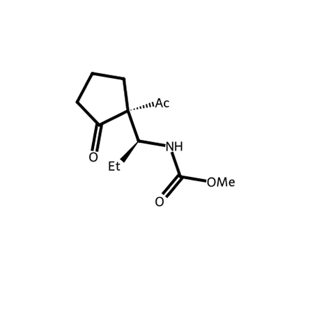 CC[C@H](NC(=O)OC)[C@]1(C(C)=O)CCCC1=O